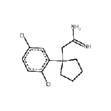 N=C(N)CC1(c2cc(Cl)ccc2Cl)CCCC1